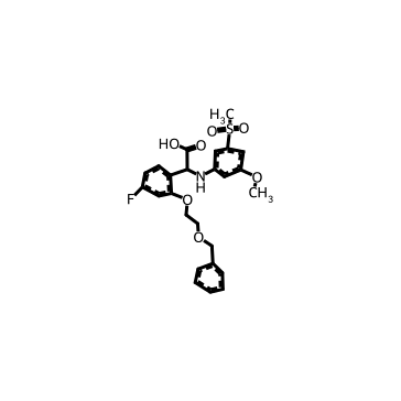 COc1cc(NC(C(=O)O)c2ccc(F)cc2OCCOCc2ccccc2)cc(S(C)(=O)=O)c1